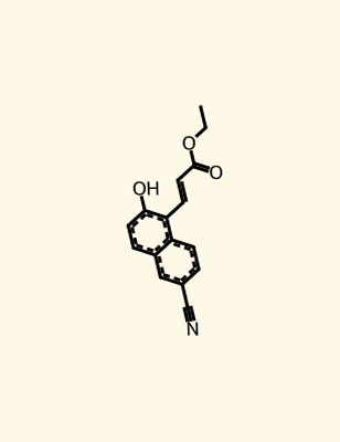 CCOC(=O)C=Cc1c(O)ccc2cc(C#N)ccc12